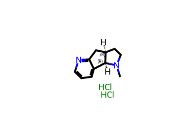 CN1CC[C@@H]2Cc3ncccc3[C@@H]21.Cl.Cl